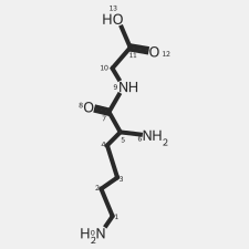 NCCCCC(N)C(=O)NCC(=O)O